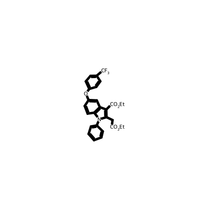 CCOC(=O)Cc1c(C(=O)OCC)c2cc(Oc3ccc(C(F)(F)F)cc3)ccc2n1-c1ccccc1